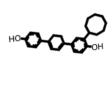 Oc1ccc(C2=CC=C(c3ccc(O)c(C4CCCCCCC4)c3)CC2)cc1